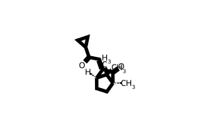 CC1(C)[C@H]2CC[C@]1(C)C(=O)/C2=C/C(=O)C1CC1